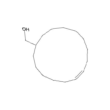 OCC1CCCCCC=CCCCCCCC1